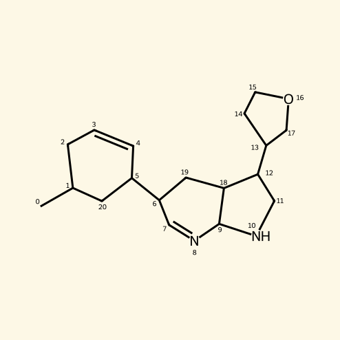 CC1CC=CC(C2C=NC3NCC(C4CCOC4)C3C2)C1